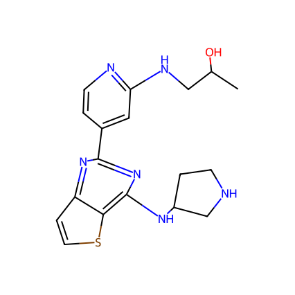 CC(O)CNc1cc(-c2nc(NC3CCNC3)c3sccc3n2)ccn1